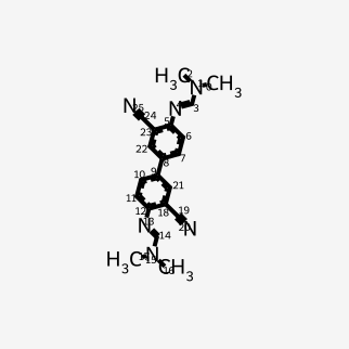 CN(C)/C=N/c1ccc(-c2ccc(/N=C/N(C)C)c(C#N)c2)cc1C#N